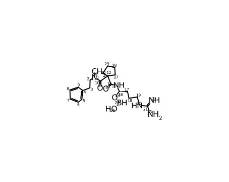 CN(CCc1ccccc1)C(=O)C1(C(=O)N[C@@H](CCCNC(=N)N)OBO)CCCC1